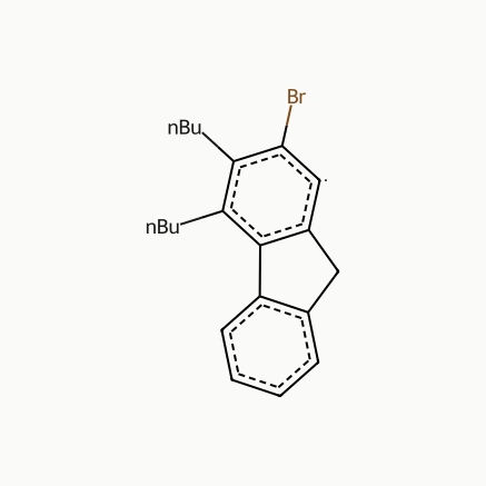 CCCCc1c(Br)[c]c2c(c1CCCC)-c1ccccc1C2